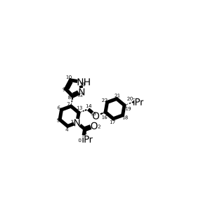 CC(C)C(=O)N1CCC[C@H](c2cc[nH]n2)[C@@H]1CO[C@H]1CC[C@@H](C(C)C)CC1